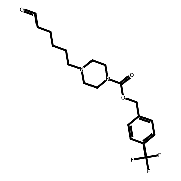 O=[C]CCCCCN1CCN(C(=O)OCc2ccc(C(F)(F)F)cc2)CC1